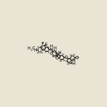 CCN1CCN(c2ccc(NC(=O)N[C@@H]3[C@H]4Oc5ccc(Oc6ccnc7c6CCC(=O)N7)cc5[C@@H]34)cc2C(F)(F)F)CC1